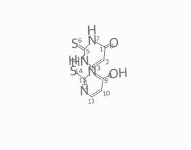 O=c1cc[nH]c(=S)[nH]1.Oc1ccnc(S)n1